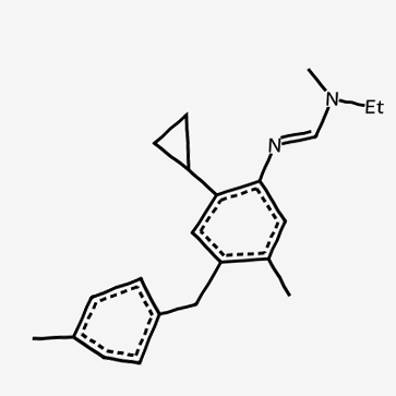 CCN(C)C=Nc1cc(C)c(Cc2ccc(C)cc2)cc1C1CC1